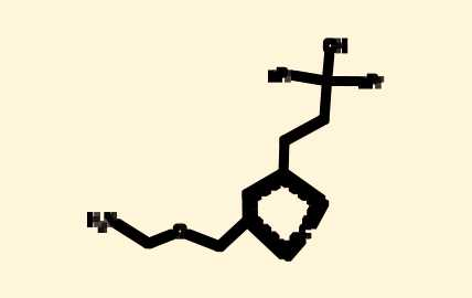 CCCC(O)(CCC)CCc1cccc(COCN)c1